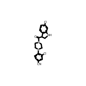 N#Cc1ccc(N2CCN(C(=O)C3CNc4cc(Cl)ccc43)CC2)c(Cl)c1